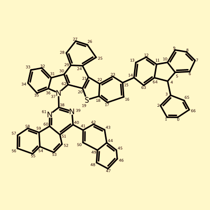 c1ccc(C2c3ccccc3-c3ccc(-c4ccc5sc6c(c5c4)c4ccccc4c4c5ccccc5n(-c5nc(-c7ccc8ccccc8c7)c7ccc8ccccc8c7n5)c64)cc32)cc1